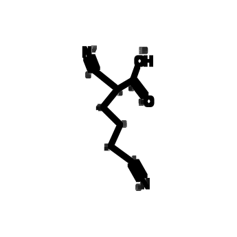 N#CCCCC(C#N)C(=O)O